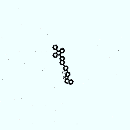 c1ccc(-c2c3ccccc3c(-c3ccc4cc(-c5ccc6c(c5)oc5c6ccc6c5oc5ccc7ccccc7c56)ccc4c3)c3ccccc23)cc1